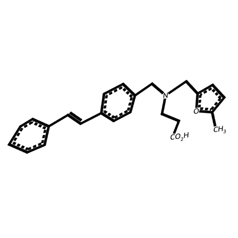 Cc1ccc(CN(CCC(=O)O)Cc2ccc(/C=C/c3ccccc3)cc2)o1